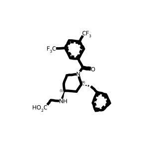 O=C(O)CN[C@H]1CCN(C(=O)c2cc(C(F)(F)F)cc(C(F)(F)F)c2)[C@H](Cc2ccccc2)C1